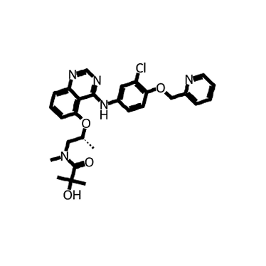 C[C@H](CN(C)C(=O)C(C)(C)O)Oc1cccc2ncnc(Nc3ccc(OCc4ccccn4)c(Cl)c3)c12